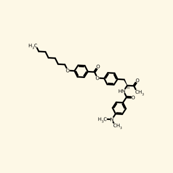 CCCCCCCOc1ccc(C(=O)Oc2ccc(C[C@H](NC(=O)c3ccc(N(C)C)cc3)C(C)=O)cc2)cc1